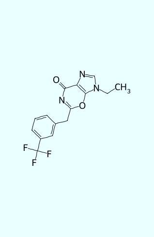 CCn1cnc2c(=O)nc(Cc3cccc(C(F)(F)F)c3)oc21